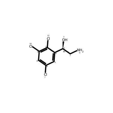 NC[C@H](O)c1cc(Cl)cc(Cl)c1Cl